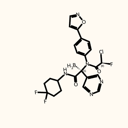 B[C@@](C(=O)NC1CCC(F)(F)CC1)(c1cncnc1)N(C(=O)[C@H](F)Cl)c1ccc(-c2ccno2)cc1